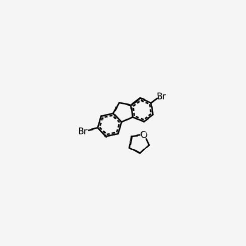 Brc1ccc2c(c1)Cc1cc(Br)ccc1-2.C1CCOC1